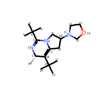 C[C@@H]1N=C(C(C)(C)C)N2CC(N3CCOC3)CC2=C1C(C)(C)C